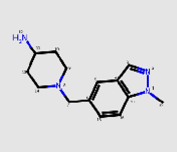 Cn1ncc2cc(CN3CCC(N)CC3)ccc21